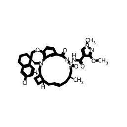 COc1nn(C)cc1C(=O)N[S@@]1(=O)=NC(=O)c2ccc3c(c2)N(C[C@@H]2CC[C@H]2C/C=C/C[C@H](C)C1)C[C@@]1(CCCc2cc(Cl)ccc21)CO3